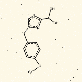 OC(O)c1ncn(Cc2ccc(OC(F)(F)F)cc2)n1